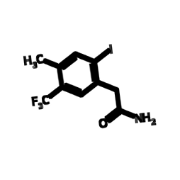 Cc1cc(I)c(CC(N)=O)cc1C(F)(F)F